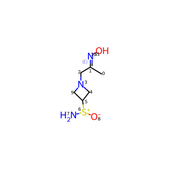 C/C(CN1CC([S+](N)[O-])C1)=N\O